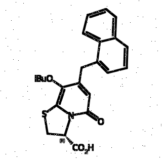 CC(C)COc1c(Cc2cccc3ccccc23)cc(=O)n2c1SC[C@H]2C(=O)O